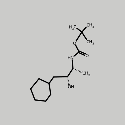 C[C@@H](NC(=O)OC(C)(C)C)[C@H](O)CC1CCCCC1